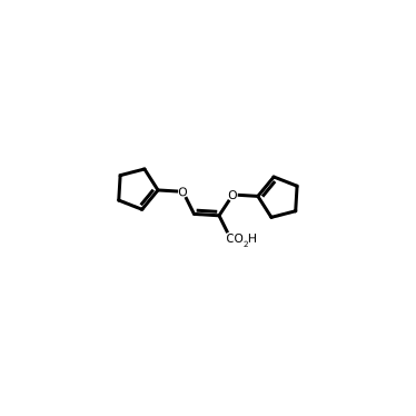 O=C(O)C(=COC1=CCCC1)OC1=CCCC1